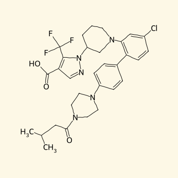 CC(C)CC(=O)N1CCN(c2ccc(-c3ccc(Cl)cc3N3CCCC(n4ncc(C(=O)O)c4C(F)(F)F)C3)cc2)CC1